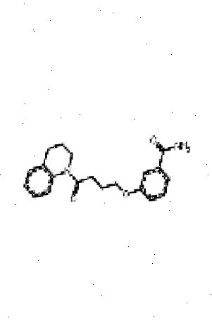 NC(=O)c1cccc(OCCCC(=O)N2CCCc3ccccc32)c1